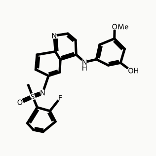 COc1cc(O)cc(Nc2ccnc3ccc(N=S(C)(=O)c4ccccc4F)cc23)c1